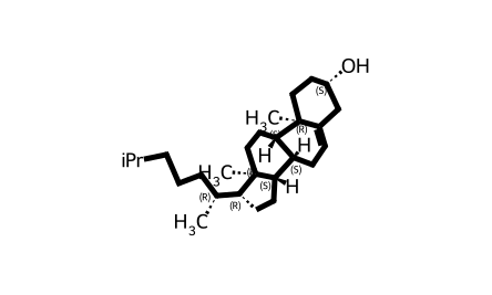 CC([13CH3])CCC[C@@H](C)[C@H]1CC[C@H]2[C@@H]3CC=C4C[C@@H](O)CC[C@]4(C)[C@H]3CC[C@]12C